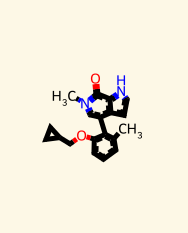 Cc1cccc(OCC2CC2)c1-c1cn(C)c(=O)c2[nH]ccc12